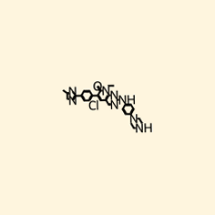 CCn1c(=O)c(-c2ccc(C3=NCC(C)=N3)cc2Cl)cc2cnc(Nc3ccc(N4CCNCC4)cc3)nc21